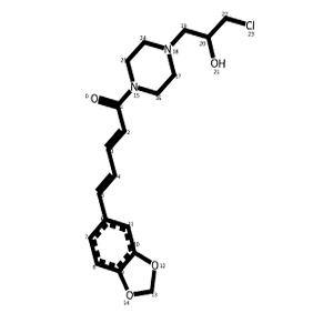 O=C(C=CC=Cc1ccc2c(c1)OCO2)N1CCN(CC(O)CCl)CC1